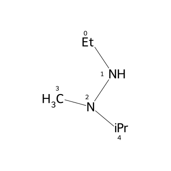 CCNN(C)C(C)C